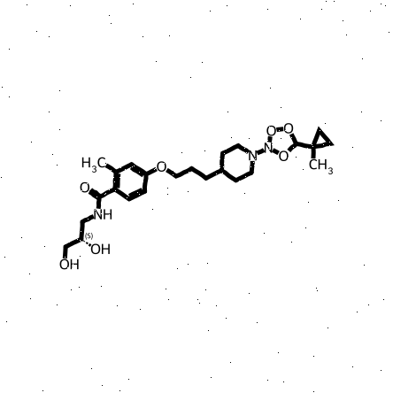 Cc1cc(OCCCC2CCN(N3OOC(C4(C)CC4)O3)CC2)ccc1C(=O)NC[C@H](O)CO